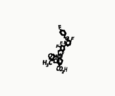 CC1(C)COC[C@H]1n1c(Cc2c(F)cc(-c3ccc(F)c(OCc4ccc(F)cc4)n3)c(F)c2F)nc2ccc(C(=O)O)cc21